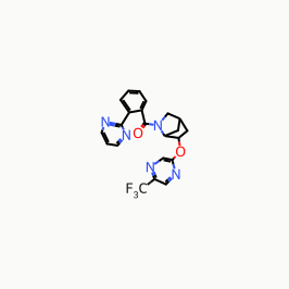 O=C(c1ccccc1-c1ncccn1)N1CC2CC(Oc3cnc(C(F)(F)F)cn3)C1C2